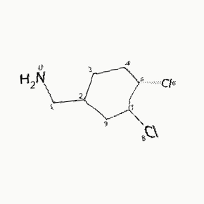 NCC1CC[C@H](Cl)C(Cl)C1